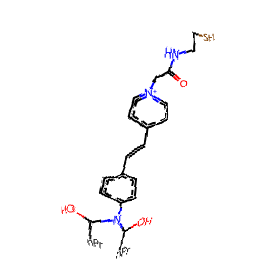 CCCC(O)N(c1ccc(/C=C/c2cc[n+](CC(=O)NCCS)cc2)cc1)C(O)CCC